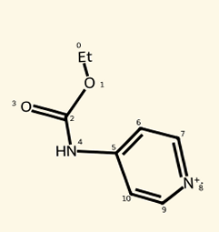 CCOC(=O)NC1=CC=[N+]C=C1